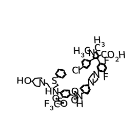 Cc1c(C(=O)O)c(-c2cc(N3CCN(c4ccc(NS(=O)(=O)c5ccc(N[C@H](CCN6CCC(O)CC6)CSc6ccccc6)c(S(=O)(=O)C(F)(F)F)c5)cc4)CC3)c(F)cc2F)c(-c2ccc(Cl)cc2)n1C